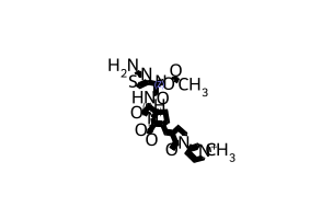 CC(=O)O/N=C(\C(=O)N[C@@H]1C(=O)N2C(C(=O)[O-])=C(C=C3CCN(c4ccc[n+](C)c4)C3=O)CC[C@H]12)c1csc(N)n1